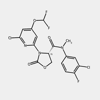 CN(C(=O)[C@@H]1COC(=O)N1c1cc(OC(F)F)cc(Cl)n1)c1ccc(F)c(Cl)c1